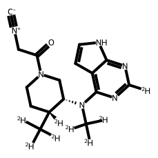 [2H]c1nc(N([C@H]2CN(C(=O)C[N+]#[C-])CC[C@@]2([2H])C([2H])([2H])[2H])C([2H])([2H])[2H])c2cc[nH]c2n1